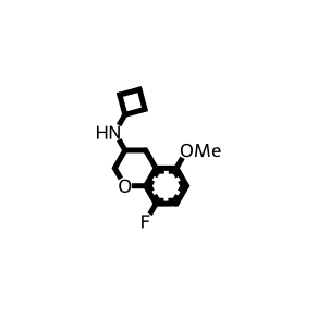 COc1ccc(F)c2c1CC(NC1CCC1)CO2